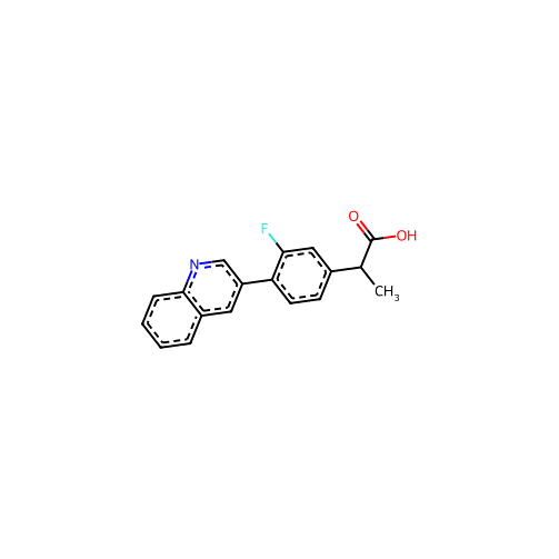 CC(C(=O)O)c1ccc(-c2cnc3ccccc3c2)c(F)c1